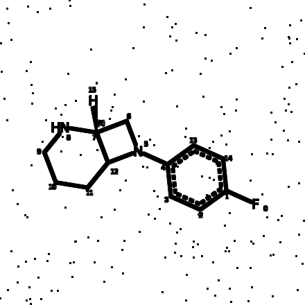 Fc1ccc(N2C[C@H]3NCCCC32)cc1